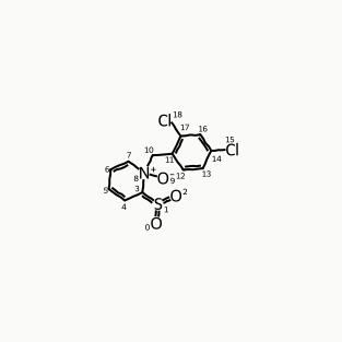 O=S(=O)=C1C=CC=C[N+]1([O-])Cc1ccc(Cl)cc1Cl